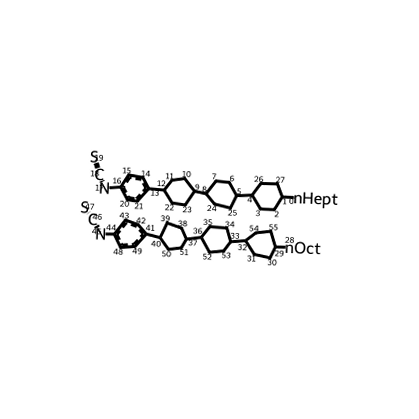 CCCCCCCC1CCC(C2CCC(C3CCC(c4ccc(N=C=S)cc4)CC3)CC2)CC1.CCCCCCCCC1CCC(C2CCC(C3CCC(c4ccc(N=C=S)cc4)CC3)CC2)CC1